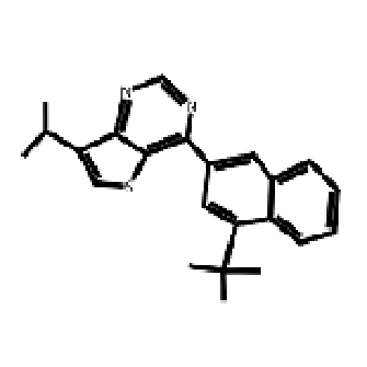 CC(C)c1csc2c(-c3cc(C(C)(C)C)c4ccccc4c3)ncnc12